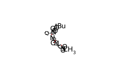 CC(C)(C)OC(=O)ON1C[C@H](CN2CCC3(CC2)CCN(Cc2ccc(S(C)(=O)=O)cc2)C3=O)[C@@H](c2ccccc2)C1